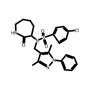 Cc1nn(-c2ccccc2)c(C)c1CN(C1CCCCNC1=O)S(=O)(=O)c1ccc(Cl)cc1